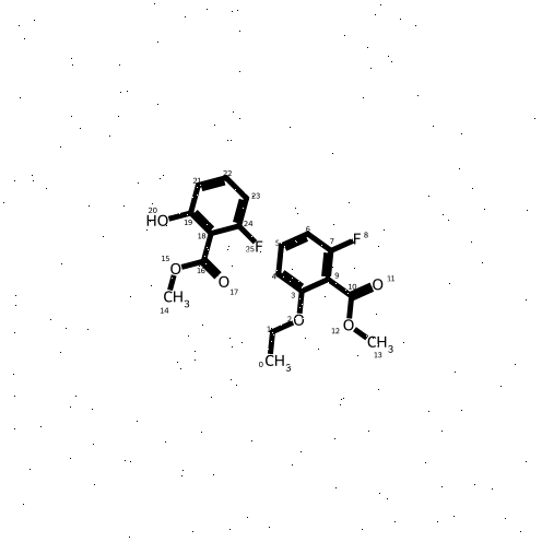 CCOc1cccc(F)c1C(=O)OC.COC(=O)c1c(O)cccc1F